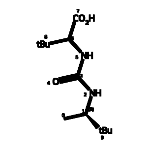 C[C@@H](NC(=O)NC(C(=O)O)C(C)(C)C)C(C)(C)C